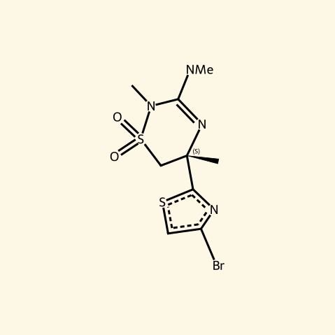 CNC1=N[C@](C)(c2nc(Br)cs2)CS(=O)(=O)N1C